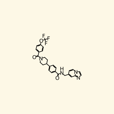 O=C(NCc1ccn2ccnc2c1)c1ccc(C2CCN(C(=O)c3ccc(OC(F)(F)F)cc3)CC2)cc1